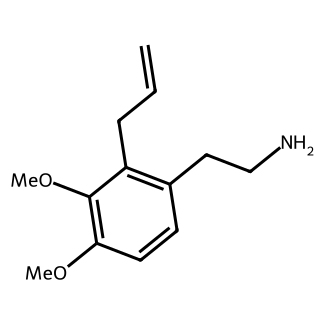 C=CCc1c(CCN)ccc(OC)c1OC